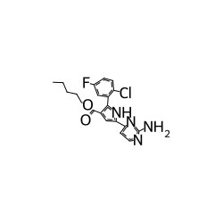 CCCCCOC(=O)c1cc(-c2ccnc(N)n2)[nH]c1-c1cc(F)ccc1Cl